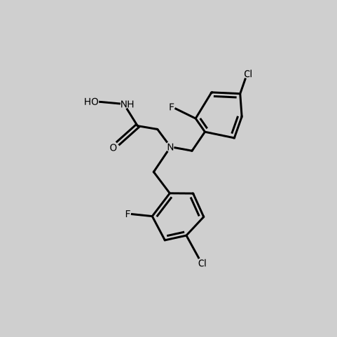 O=C(CN(Cc1ccc(Cl)cc1F)Cc1ccc(Cl)cc1F)NO